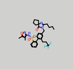 CCCCC1=NC2(CCCC2)C(=O)N1Cc1ccc(-c2ccccc2S(=O)(=O)Nc2noc(C)c2C)c(CCC(F)(F)F)c1